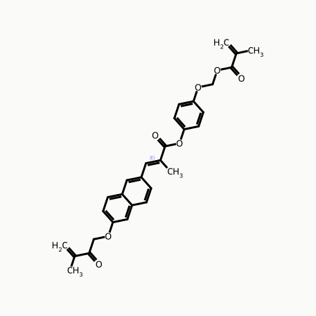 C=C(C)C(=O)COc1ccc2cc(/C=C(\C)C(=O)Oc3ccc(OCOC(=O)C(=C)C)cc3)ccc2c1